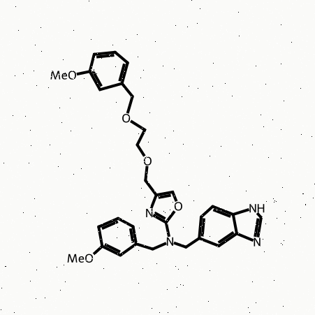 COc1cccc(COCCOCc2coc(N(Cc3cccc(OC)c3)Cc3ccc4[nH]cnc4c3)n2)c1